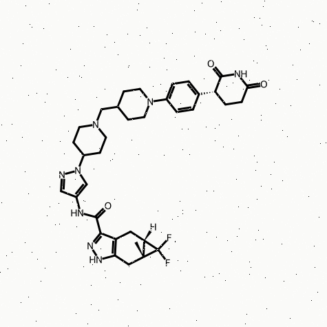 C[C@@]12Cc3[nH]nc(C(=O)Nc4cnn(C5CCN(CC6CCN(c7ccc([C@H]8CCC(=O)NC8=O)cc7)CC6)CC5)c4)c3C[C@@H]1C2(F)F